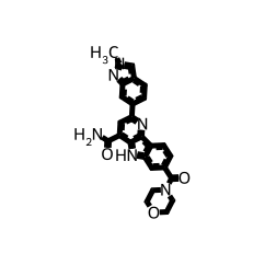 Cn1cc2ccc(-c3cc(C(N)=O)c4[nH]c5cc(C(=O)N6CCOCC6)ccc5c4n3)cc2n1